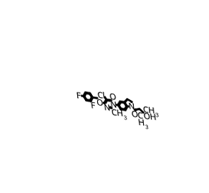 Cc1nc(OCc2ccc(F)cc2F)c(Cl)c(=O)n1-c1ccc2c(c1)CCN2C(=O)CC(C)(C)O